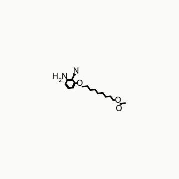 CC(=O)OCCCCCCCCCOc1cccc(N)c1C#N